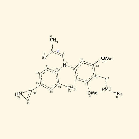 CC/C(C)=C\N(c1cc(OC)c(CNC(C)(C)C)c(OC)c1)c1ccc(C2=CN2)cc1C